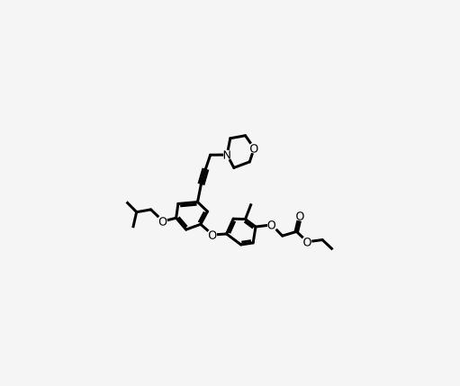 CCOC(=O)COc1ccc(Oc2cc(C#CCN3CCOCC3)cc(OCC(C)C)c2)cc1C